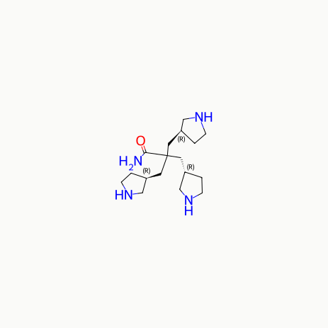 NC(=O)C(C[C@@H]1CCNC1)(C[C@@H]1CCNC1)C[C@@H]1CCNC1